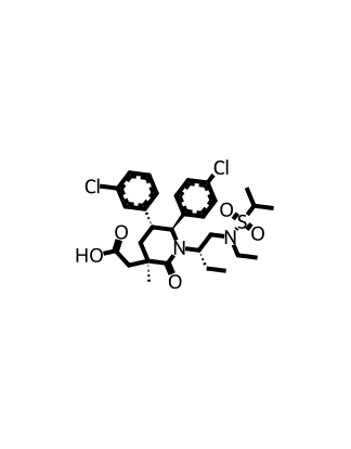 CC[C@@H](CN(CC)S(=O)(=O)C(C)C)N1C(=O)[C@@](C)(CC(=O)O)C[C@H](c2cccc(Cl)c2)[C@H]1c1ccc(Cl)cc1